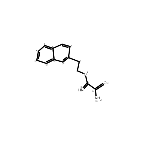 N=C(OCCc1ccc2ccccc2c1)C(N)=O